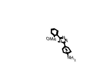 COc1ccccc1-c1nnc(C23CCC(N)(CC2)CC3)n1C